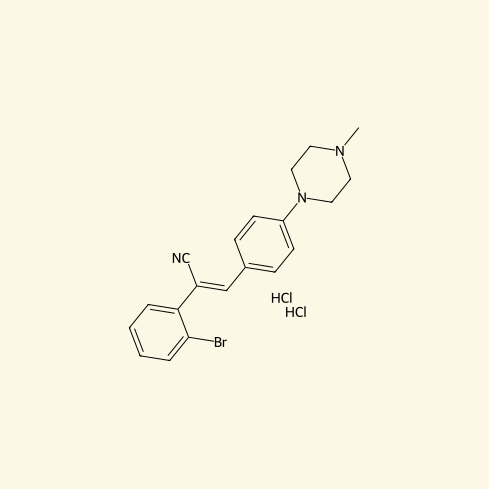 CN1CCN(c2ccc(/C=C(\C#N)c3ccccc3Br)cc2)CC1.Cl.Cl